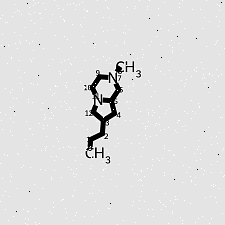 CCCC1CC2CN(C)CCN2C1